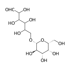 O=CC(O)C(O)C(O)C(O)CO[C@@H]1O[C@H](CO)[C@H](O)[C@H](O)[C@H]1O